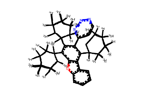 [2H]C1C([2H])([2H])C([2H])([2H])C([2H])([2H])C([2H])([2H])C1([2H])c1c(-c2ccnnn2)c(C2([2H])CC([2H])([2H])C([2H])([2H])C([2H])([2H])C2([2H])[2H])c2c(oc3ccccc32)c1C1([2H])C([2H])C([2H])([2H])C([2H])([2H])C([2H])([2H])C1([2H])[2H]